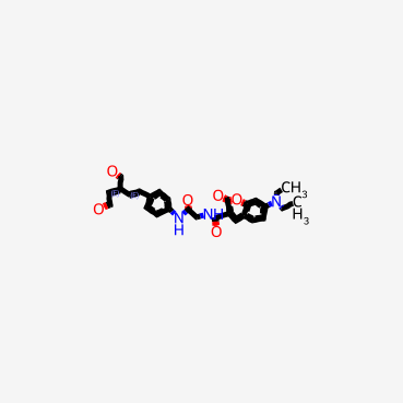 CCN(CC)c1ccc2cc(C(=O)NCC(=O)Nc3ccc(/C=C/C(C=O)=C\C=O)cc3)c(=O)oc2c1